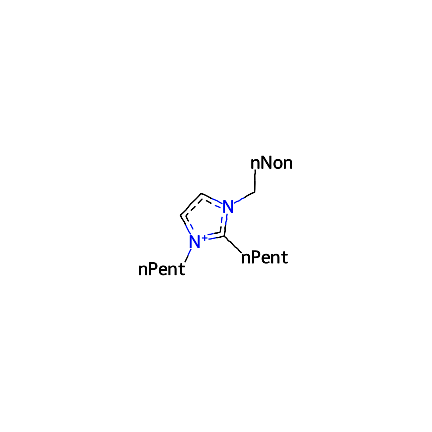 CCCCCCCCCCn1cc[n+](CCCCC)c1CCCCC